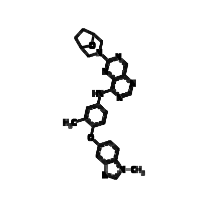 Cc1cc(Nc2ncnc3cnc(N4CC5CCC(C4)O5)nc23)ccc1Oc1ccc2c(c1)ncn2C